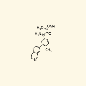 CO[C@@H](C)C(=O)N(N)c1ccc(C)c(-c2ccc3ccncc3c2)c1